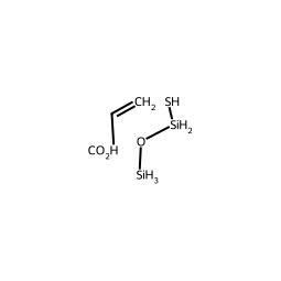 C=CC(=O)O.[SiH3]O[SiH2]S